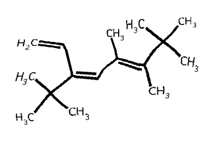 C=C/C(=C\C(C)=C(/C)C(C)(C)C)C(C)(C)C